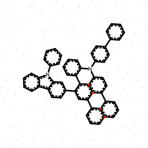 c1ccc(-c2ccc(N(c3ccc(-c4ccccc4)cc3)c3ccccc3-c3ccc(-c4ccccc4)cc3-c3ccc4c5ccccc5n(-c5ccccc5)c4c3)cc2)cc1